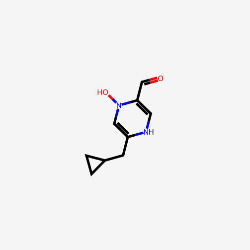 O=CC1=CNC(CC2CC2)=CN1O